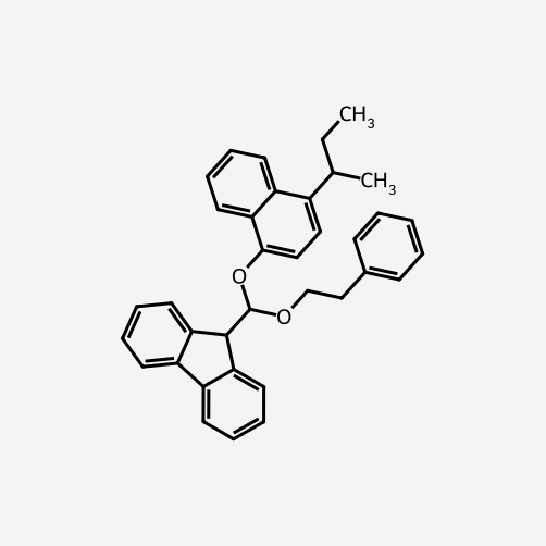 CCC(C)c1ccc(OC(OCCc2ccccc2)C2c3ccccc3-c3ccccc32)c2ccccc12